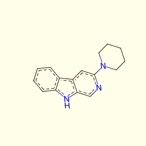 c1ccc2c(c1)[nH]c1cnc(N3CCCCC3)cc12